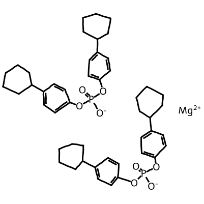 O=P([O-])(Oc1ccc(C2CCCCC2)cc1)Oc1ccc(C2CCCCC2)cc1.O=P([O-])(Oc1ccc(C2CCCCC2)cc1)Oc1ccc(C2CCCCC2)cc1.[Mg+2]